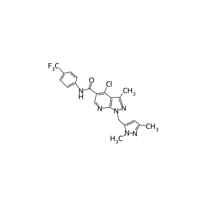 Cc1cc(Cn2nc(C)c3c(Cl)c(C(=O)Nc4ccc(C(F)(F)F)cc4)cnc32)n(C)n1